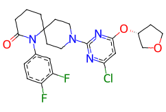 O=C1CCCC2(CCN(c3nc(Cl)cc(O[C@@H]4CCOC4)n3)CC2)N1c1ccc(F)c(F)c1